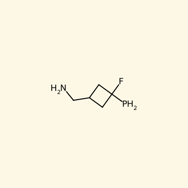 NCC1CC(F)(P)C1